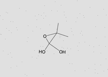 CC1(C)OC1(O)O